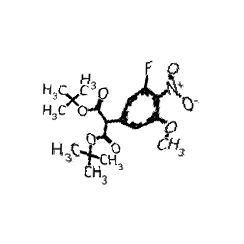 COc1cc(C(C(=O)OC(C)(C)C)C(=O)OC(C)(C)C)cc(F)c1[N+](=O)[O-]